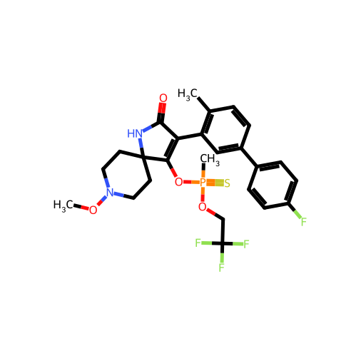 CON1CCC2(CC1)NC(=O)C(c1cc(-c3ccc(F)cc3)ccc1C)=C2OP(C)(=S)OCC(F)(F)F